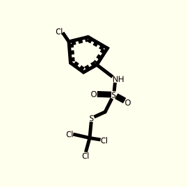 O=S(=O)(CSC(Cl)(Cl)Cl)Nc1ccc(Cl)cc1